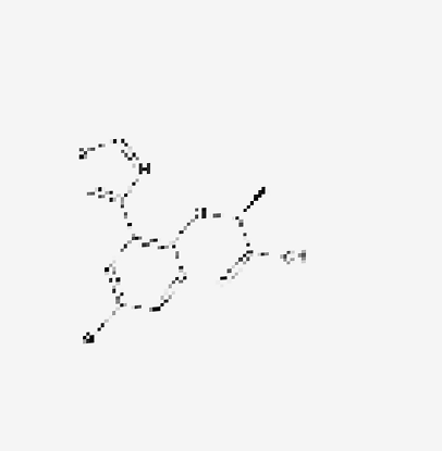 C[C@H](Oc1ccc(Br)cc1-c1cscn1)C(=O)O